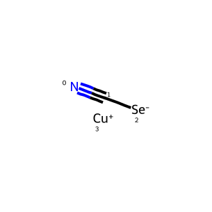 N#C[Se-].[Cu+]